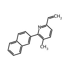 C=Cc1ccc(C)c(-c2ccc3ccccc3c2)n1